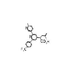 C=C(C)CC(C(=O)O)c1cc(-c2ccc(C(F)(F)F)cc2)nc(-c2ccc(C)nc2)c1